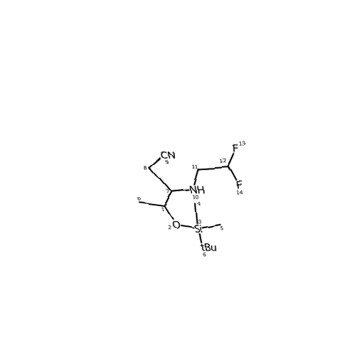 CC(O[Si](C)(C)C(C)(C)C)C(CC#N)NCC(F)F